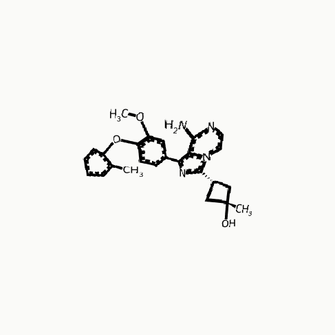 COc1cc(-c2nc([C@H]3C[C@@](C)(O)C3)n3ccnc(N)c23)ccc1Oc1ccccc1C